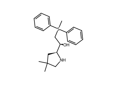 CC1(C)CN[C@H]([C@H](O)CS(C)(c2ccccc2)c2ccccc2)C1